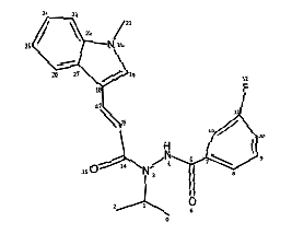 CC(C)N(NC(=O)c1cccc(F)c1)C(=O)C=Cc1cn(C)c2ccccc12